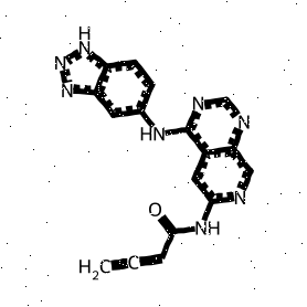 C=C=CC(=O)Nc1cc2c(Nc3ccc4[nH]nnc4c3)ncnc2cn1